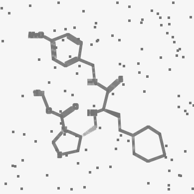 COc1ccc(CNC(=S)[C@@H](CCC2CCCCC2)NC[C@@H]2CSCN2C(=O)OC(C)(C)C)cc1